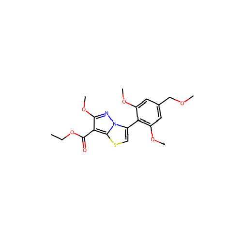 CCOC(=O)c1c(OC)nn2c(-c3c(OC)cc(COC)cc3OC)csc12